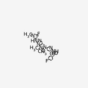 CC(C)N1C(=O)N(c2ccc(NS(=O)(=O)Cc3ccc(F)cc3)nc2)Cc2cnc(N[C@H]3C[C@H](F)CN(C)C3)nc21